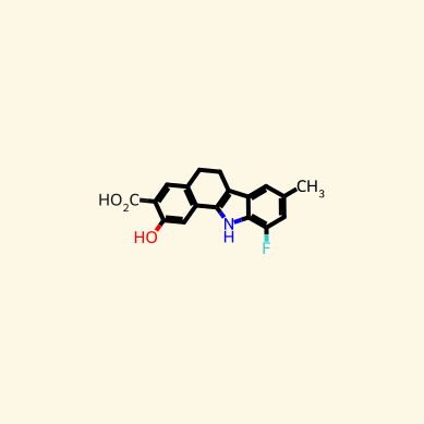 Cc1cc(F)c2[nH]c3c(c2c1)CCc1cc(C(=O)O)c(O)cc1-3